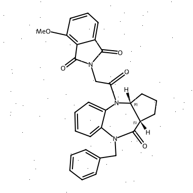 COc1cccc2c1C(=O)N(CC(=O)N1c3ccccc3N(Cc3ccccc3)C(=O)[C@H]3CCC[C@H]31)C2=O